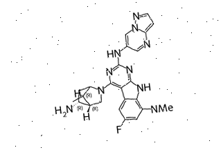 CNc1cc(F)cc2c1[nH]c1nc(Nc3cnc4ccnn4c3)nc(N3C[C@@H]4[C@H](N)CC3[C@@H]4C)c12